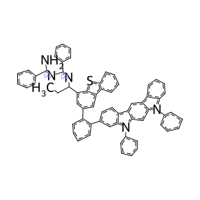 CCC(/N=C(\N=C(/N)c1ccccc1)c1ccccc1)c1cc(-c2ccccc2-c2ccc3c4cc5c6ccccc6n(-c6ccccc6)c5cc4n(-c4ccccc4)c3c2)cc2c1sc1ccccc12